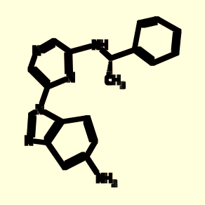 C[C@H](Nc1cncc(-n2cnc3cc(N)ccc32)n1)c1ccccc1